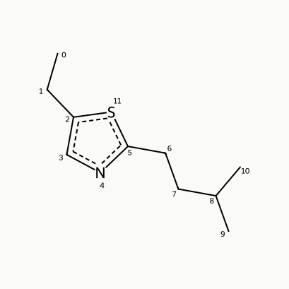 CCc1cnc(CCC(C)C)s1